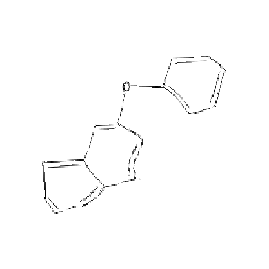 [c]1cc(Oc2ccccc2)cc2ccccc12